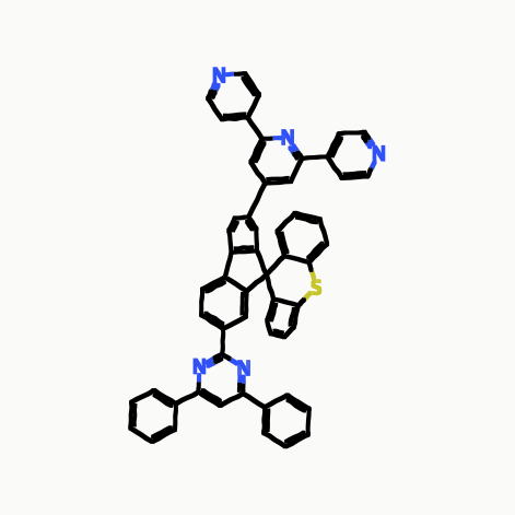 c1ccc(-c2cc(-c3ccccc3)nc(-c3ccc4c(c3)C3(c5ccccc5Sc5ccccc53)c3cc(-c5cc(-c6ccncc6)nc(-c6ccncc6)c5)ccc3-4)n2)cc1